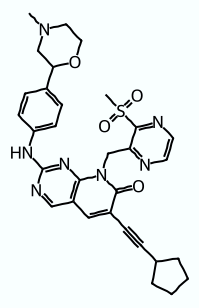 CN1CCOC(c2ccc(Nc3ncc4cc(C#CC5CCCC5)c(=O)n(Cc5nccnc5S(C)(=O)=O)c4n3)cc2)C1